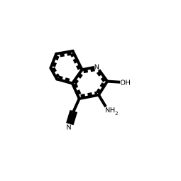 N#Cc1c(N)c(O)nc2ccccc12